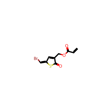 C=CC(=O)OCC1=CC(=CBr)SC1=O